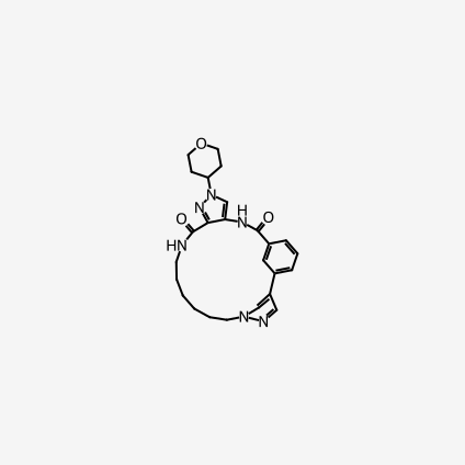 O=C1Nc2cn(C3CCOCC3)nc2C(=O)NCCCCCCn2cc(cn2)-c2cccc1c2